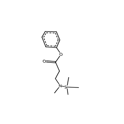 CN(CCC(=O)Oc1ccccc1)[Si](C)(C)C